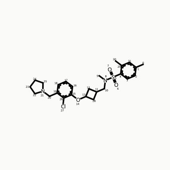 Cc1ccc(S(=O)(=O)N(C)CC2CC(Oc3cccc(CN4CCCC4)c3Cl)C2)c(C)c1